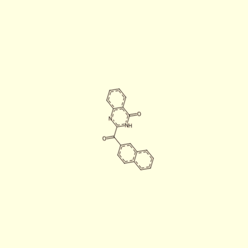 O=C(c1ccc2ccccc2c1)c1nc2ccccc2c(=O)[nH]1